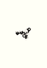 CN1C(=O)C2=C(C1=O)N([C@H](CNC(=O)c1ccccc1O)Cc1ccc(-c3cccnc3)nc1)CCC2